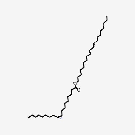 CCCCCCCCC=CCCCCCCCCCCOC(=O)CCCCCCC/C=C\CCCCCCCC